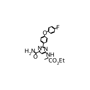 CCOC(=O)[C@H](C)Nc1cc(C(N)=O)nc(-c2ccc(Oc3ccc(F)cc3)cc2)n1